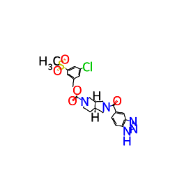 CS(=O)(=O)c1cc(Cl)cc(COC(=O)N2CC[C@H]3CN(C(=O)c4ccc5[nH]nnc5c4)C[C@@H]3C2)c1